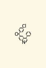 O=C(c1ccc(Cl)cc1)c1ccc2nccc(-c3ccccc3)c2c1